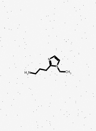 CCn1ccnc1CCCN